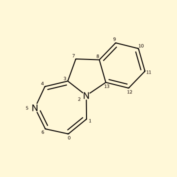 C1=CN2C(=CN=C1)Cc1ccccc12